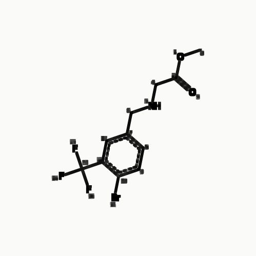 COC(=O)CNCc1ccc(Br)c(C(F)(F)F)c1